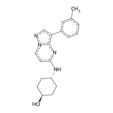 Cc1cccc(-c2cnn3ccc(N[C@H]4CC[C@H](O)CC4)nc23)c1